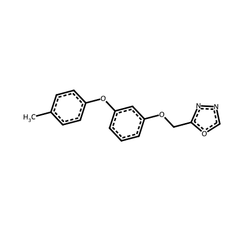 Cc1ccc(Oc2cccc(OCc3nnco3)c2)cc1